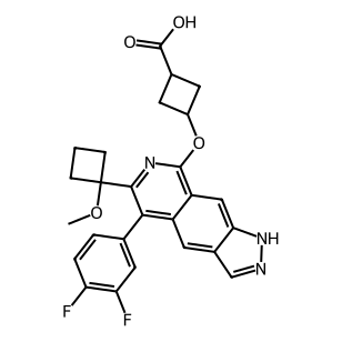 COC1(c2nc(OC3CC(C(=O)O)C3)c3cc4[nH]ncc4cc3c2-c2ccc(F)c(F)c2)CCC1